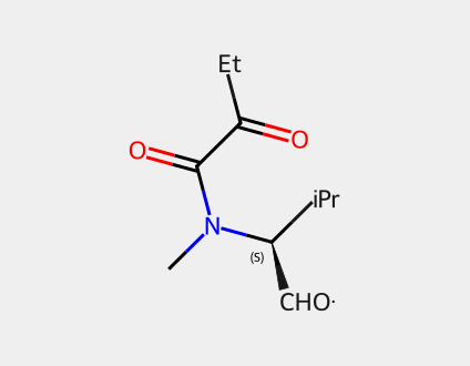 CCC(=O)C(=O)N(C)[C@H]([C]=O)C(C)C